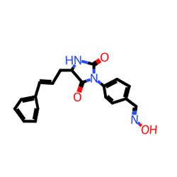 O=C1NC(CC=Cc2ccccc2)C(=O)N1c1ccc(C=NO)cc1